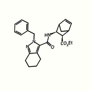 CCOC(=O)[C@@H]1C2C=CC(C2)[C@@H]1NC(=O)c1c2c(nn1Cc1ccccc1)CCCC2